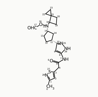 Cc1cc(CC(=O)Nc2cc([C@@H]3CC[C@H](N(OC=O)C4CCC45CC5)C3)n[nH]2)sn1